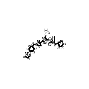 Cc1nc(-c2ccn(Cc3ccc(-n4cccn4)cc3)n2)sc1OC(=O)NCc1cccnc1